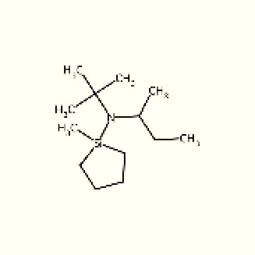 CCC(C)N(C(C)(C)C)[Si]1(C)CCCC1